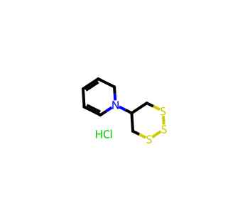 C1=CCN(C2CSSSC2)C=C1.Cl